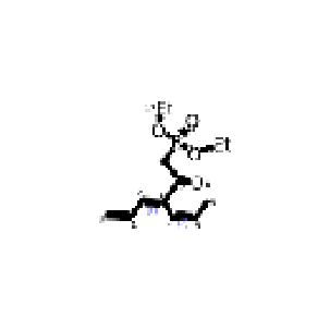 C=C/C=C(\C=C/C)C(=O)CP(=O)(OCC)OCC